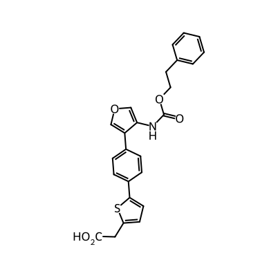 O=C(O)Cc1ccc(-c2ccc(-c3cocc3NC(=O)OCCc3ccccc3)cc2)s1